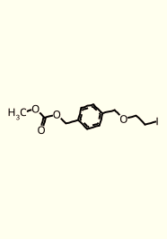 COC(=O)OCc1ccc(COCCI)cc1